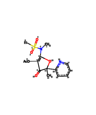 CCS(=O)(=O)N(C)C1=C(OC(C)=O)C(=O)C(C)(c2ccccn2)O1